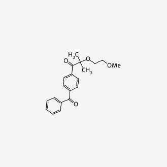 COCCOC(C)(C)C(=O)c1ccc(C(=O)c2ccccc2)cc1